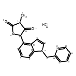 CN1C(=O)SC(c2cccc3c2ccn3Cc2ccccn2)C1=O.Cl